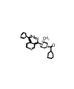 C[C@@H]1CN(C(=O)C2CCCCC2)CCN1c1nnc(-c2ccccc2)c2ccncc12